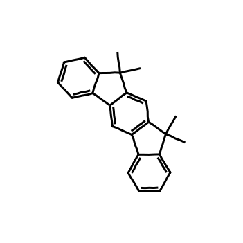 CC1(C)c2ccccc2-c2cc3c(cc21)C(C)(C)c1ccccc1-3